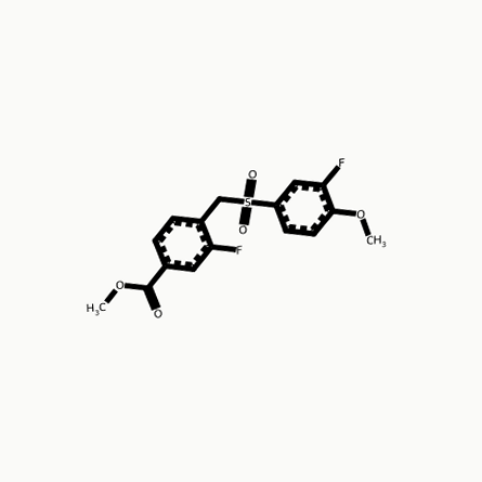 COC(=O)c1ccc(CS(=O)(=O)c2ccc(OC)c(F)c2)c(F)c1